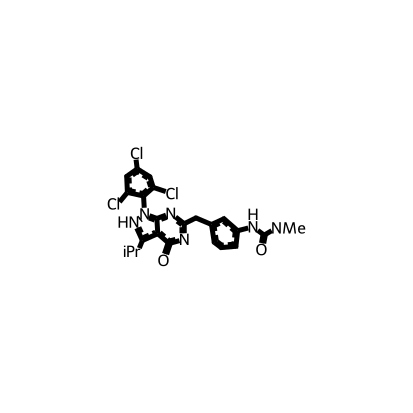 CNC(=O)Nc1cccc(Cc2nc3n(-c4c(Cl)cc(Cl)cc4Cl)[nH]c(C(C)C)c-3c(=O)n2)c1